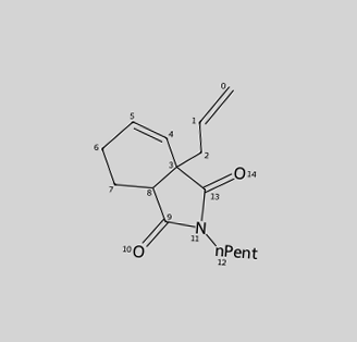 C=CCC12C=CCCC1C(=O)N(CCCCC)C2=O